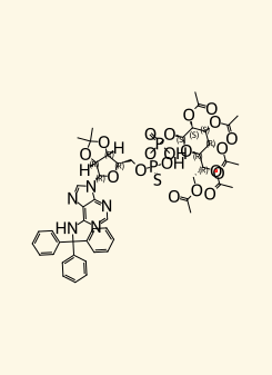 CC(=O)OC[C@@H](OC(C)=O)[C@H]1O[C@@H](OP(=O)(O)OP(O)(=S)OC[C@H]2O[C@@H](n3cnc4c(NC(c5ccccc5)(c5ccccc5)c5ccccc5)ncnc43)[C@@H]3OC(C)(C)O[C@@H]32)[C@@H](OC(C)=O)[C@@H](OC(C)=O)[C@@H]1OC(C)=O